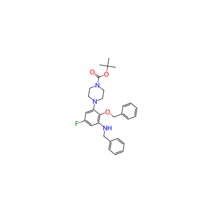 CC(C)(C)OC(=O)N1CCN(c2cc(F)cc(NCc3ccccc3)c2OCc2ccccc2)CC1